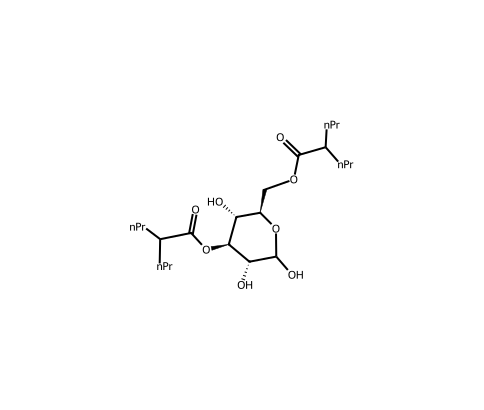 CCCC(CCC)C(=O)OC[C@H]1OC(O)[C@H](O)[C@@H](OC(=O)C(CCC)CCC)[C@@H]1O